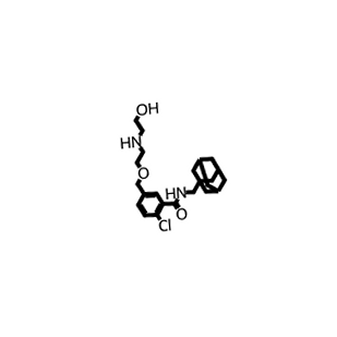 O=C(NCC12CC3CC(CC(C3)C1)C2)c1cc(COCCNCCO)ccc1Cl